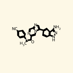 CN(C(=O)c1cn2c(-c3ccc4[nH]nc(N)c4c3)cnc2cn1)c1ccc(C#N)cc1